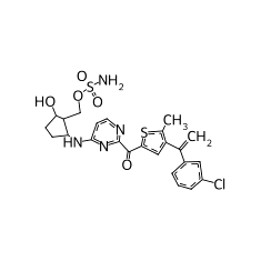 C=C(c1cccc(Cl)c1)c1cc(C(=O)c2nccc(NC3CCC(O)C3COS(N)(=O)=O)n2)sc1C